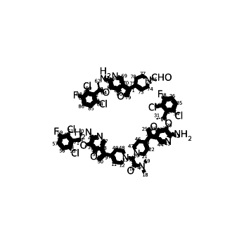 C[C@@H](Oc1c(N)ncc2c(C3=CCN(C(C(=O)N(C)C)N4CC=C(c5coc6c(O[C@H](C)c7c(Cl)ccc(F)c7Cl)c(N)ncc56)CC4)CC3)coc12)c1c(Cl)ccc(F)c1Cl.C[C@@H](Oc1c(N)ncc2c(C3=CCN(C=O)CC3)coc12)c1c(Cl)ccc(F)c1Cl